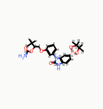 CC(C)(C)C(COc1cccc(-n2c(=O)[nH]c3ccc(B4OC(C)(C)C(C)(C)O4)cc32)c1)OC(N)=O